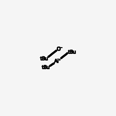 CC(C)(C)[O-].C[C](C)(C)[Al+][C](C)(C)C